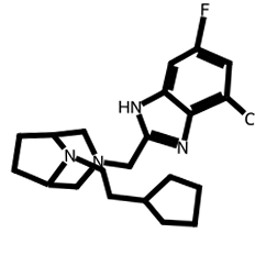 Fc1cc(Cl)c2nc(CN3CC4CCC(C3)N4CCC3CCCC3)[nH]c2c1